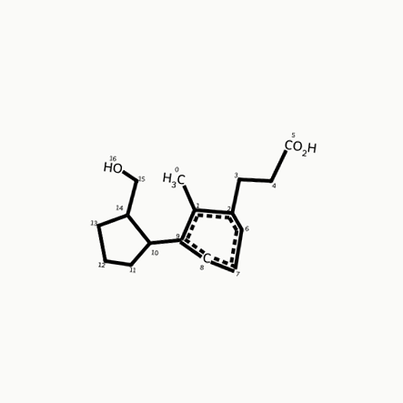 Cc1c(CCC(=O)O)cccc1C1CCCC1CO